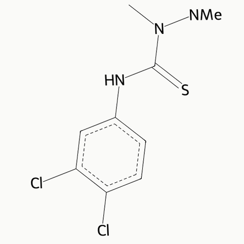 CNN(C)C(=S)Nc1ccc(Cl)c(Cl)c1